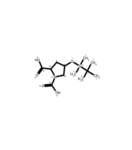 CC(C)(C)[Si](C)(C)OC1CC(C(=O)O)N(C(=O)O)C1